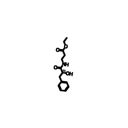 CCOC(=O)CCNC(=O)[C@@H](O)Cc1ccccc1